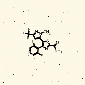 Cn1nc(C(F)(F)F)cc1-c1sc(C(N)=O)nc1-c1c(F)cncc1F